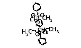 CCO[Si](C)(OCC)c1ccccc1.CO[Si](OC)(c1ccccc1)c1ccccc1